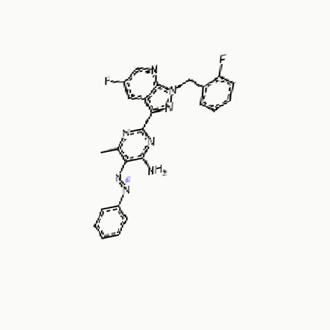 Cc1nc(-c2nn(Cc3ccccc3F)c3ncc(F)cc23)nc(N)c1/N=N/c1ccccc1